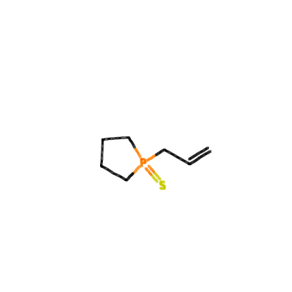 C=CCP1(=S)CCCC1